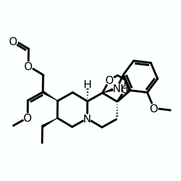 CC[C@@H]1CN2CC[C@@]34OCCO[C@@]3(Nc3cccc(OC)c34)[C@@H]2C[C@@H]1/C(=C\OC)COC=O